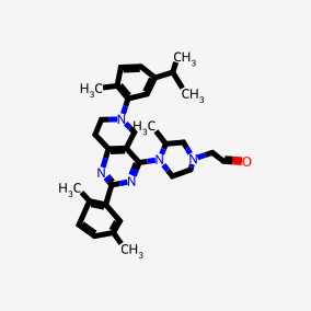 Cc1ccc(C)c(-c2nc3c(c(N4CCN(CC=O)CC4C)n2)CN(c2cc(C(C)C)ccc2C)CC3)c1